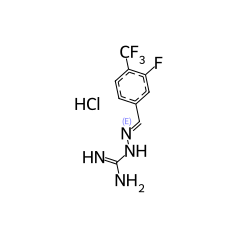 Cl.N=C(N)N/N=C/c1ccc(C(F)(F)F)c(F)c1